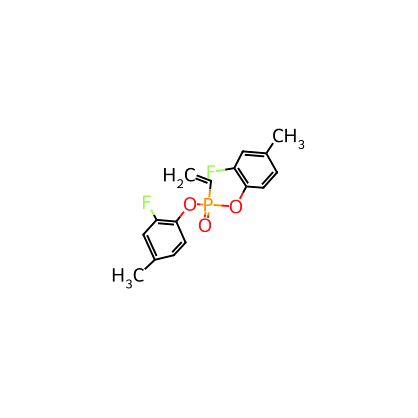 C=CP(=O)(Oc1ccc(C)cc1F)Oc1ccc(C)cc1F